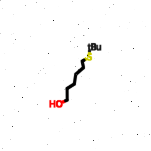 CC(C)(C)SCCCCCCO